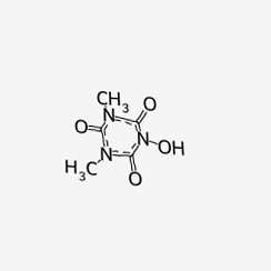 Cn1c(=O)n(C)c(=O)n(O)c1=O